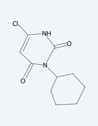 O=c1cc(Cl)[nH]c(=O)n1C1CCCCC1